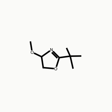 COC1COC(C(C)(C)C)=N1